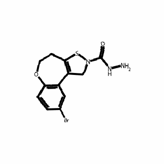 NNC(=O)N1CC2=C(CCOc3ccc(Br)cc32)S1